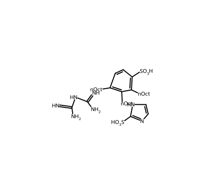 CCCCCCCCc1ccc(S(=O)(=O)O)c(CCCCCCCC)c1CCCCCCCC.N=C(N)NC(=N)N.O=S(=O)(O)c1ncc[nH]1